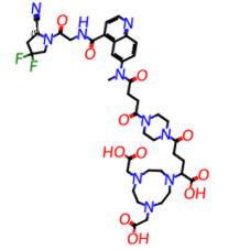 CN(C(=O)CCC(=O)N1CCN(C(=O)CCC(C(=O)O)N2CCN(CC(=O)O)CCN(CC(=O)O)CC2)CC1)c1ccc2nccc(C(=O)NCC(=O)N3CC(F)(F)C[C@H]3C#N)c2c1